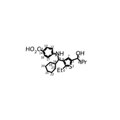 CCc1sc(C(O)C(C)C)cc1C(Nc1ccc(C(=O)O)cc1)C1CCCCC1